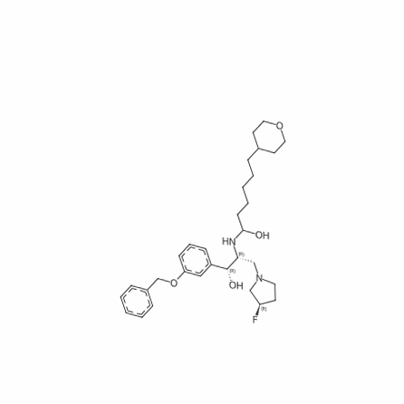 OC(CCCCCC1CCOCC1)N[C@H](CN1CC[C@@H](F)C1)[C@H](O)c1cccc(OCc2ccccc2)c1